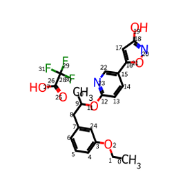 CCOc1cccc(CC(C)Oc2ccc(-c3cc(O)no3)cn2)c1.O=C(O)C(F)(F)F